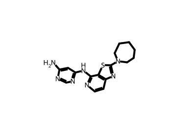 Nc1cc(Nc2nccc3nc(N4CCCCCC4)sc23)ncn1